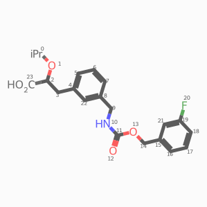 CC(C)OC(Cc1cccc(CNC(=O)OCc2cccc(F)c2)c1)C(=O)O